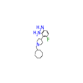 Nc1ccc(F)c(C2CCN(CC3CCCCCCC3)CC2)c1N